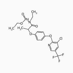 CCO[PH](=O)N(CC)C(=O)C(C)Oc1ccc(Oc2ncc(C(F)(F)F)cc2Cl)cc1